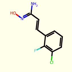 NC(C=Cc1cccc(Cl)c1F)=NO